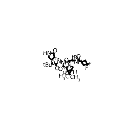 CC(C)(C)OC(=O)N(C[C@@H]1CCNC1=O)NC(=O)[C@@H]1[C@@H]2[C@H](CN1C(=O)[C@@H](NC(=O)C1CC(F)(F)C1)C(C)(C)C)C2(C)C